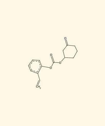 C=Cc1ccccc1OC(=O)OC1CCCC(=O)C1